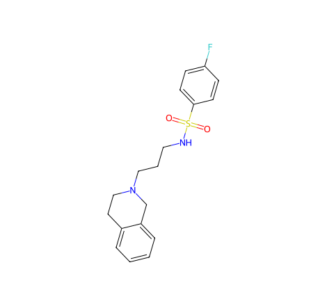 O=S(=O)(NCCCN1CCc2ccccc2C1)c1ccc(F)cc1